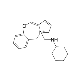 C1=CC2=COc3ccccc3C[N+]2(CNC2CCCCC2)C1